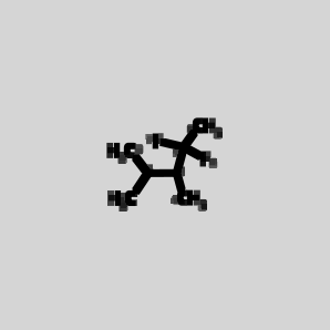 CC(C)C(C)C(C)(F)F